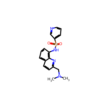 CN(C)Cc1ccc2cccc(NS(=O)(=O)c3cccnc3)c2n1